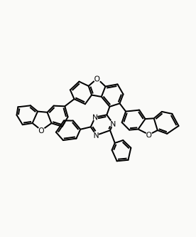 c1ccc(-c2nc(-c3ccccc3)nc(-c3c(-c4ccc5oc6ccccc6c5c4)ccc4oc5ccc(-c6ccc7oc8ccccc8c7c6)cc5c34)n2)cc1